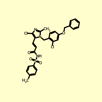 Cc1ccc(S(=O)(=O)NC(=O)C=Cc2c(Cl)nc(C)n2Cc2ccc(OCc3ccccc3)cc2Cl)cc1